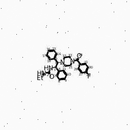 CCNC(=O)N[C@H](c1ccccc1)[C@H](c1ccccc1)N1CCN(C(=O)c2ccc(F)cc2)CC1